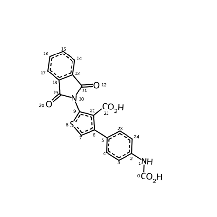 O=C(O)Nc1ccc(-c2csc(N3C(=O)c4ccccc4C3=O)c2C(=O)O)cc1